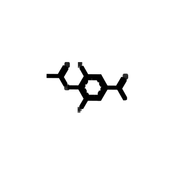 CC(=O)Oc1c(F)cc(C(C)=O)cc1F